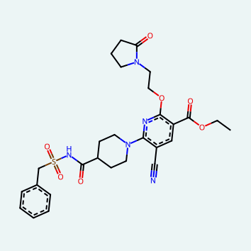 CCOC(=O)c1cc(C#N)c(N2CCC(C(=O)NS(=O)(=O)Cc3ccccc3)CC2)nc1OCCN1CCCC1=O